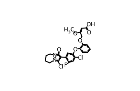 CO/C(=C/C(=O)O)COc1ccccc1Oc1cc(-c2c(Cl)n3n(c2=O)CCCC3)c(F)cc1Cl